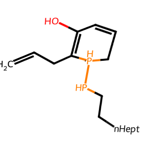 C=CCC1=C(O)C=CC[PH]1PCCCCCCCCC